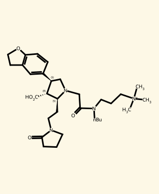 CCCCN(CCC[N+](C)(C)C)C(=O)CN1C[C@H](c2ccc3c(c2)CCO3)[C@@H](C(=O)O)[C@@H]1CCN1CCCC1=O